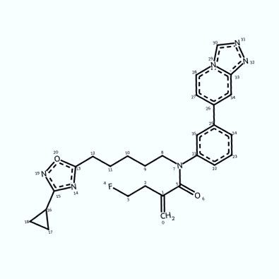 C=C(CCF)C(=O)N(CCCCCc1nc(C2CC2)no1)c1cccc(-c2ccn3cnnc3c2)c1